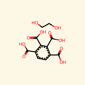 O=C(O)c1ccc(C(=O)O)c(C(=O)O)c1C(=O)O.OCCO